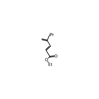 C=C(C=CC(=O)OCC)C(C)C